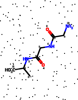 CC(NC(=O)CNC(=O)CN)C(=O)O